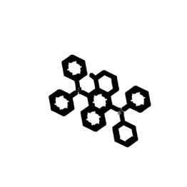 CC1CC=Cc2c1c(N(c1ccccc1)c1ccccc1)c1ccccc1c2N(c1ccccc1)C1C=CC=CC1